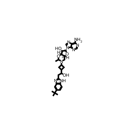 CC1O[C@H]2[C@@H](O)[C@H](n3cnc4c(N)ncnc43)O[C@@H]2CN1C1CC(C(O)Cc2nc3cc(C(C)(C)C)ccc3[nH]2)C1